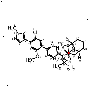 COc1cc(-c2cnn(C)c2)c(Cl)cc1-c1ccc(O[C@@H]2C[C@H]3CCC[C@@H]([C@@H]2F)N3C(=O)OC(C)(C)C)nn1